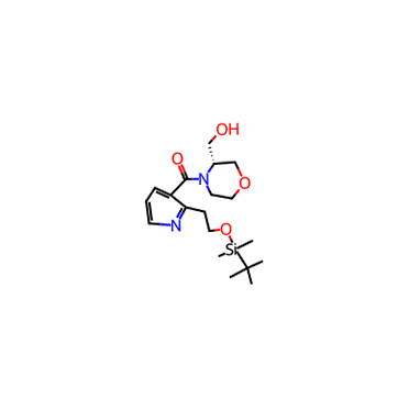 CC(C)(C)[Si](C)(C)OCCc1ncccc1C(=O)N1CCOC[C@H]1CO